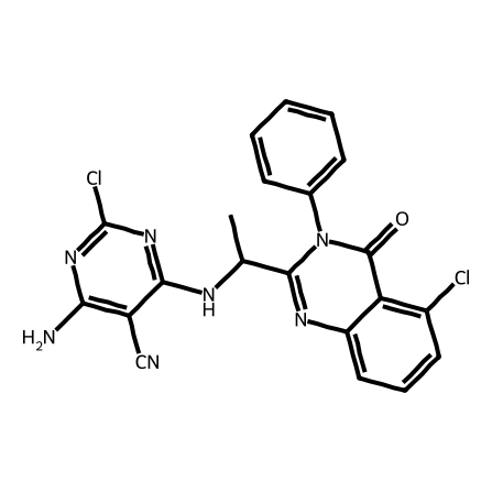 CC(Nc1nc(Cl)nc(N)c1C#N)c1nc2cccc(Cl)c2c(=O)n1-c1ccccc1